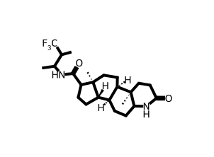 CC(NC(=O)C1CC[C@H]2[C@@H]3CCC4NC(=O)CC[C@]4(C)[C@@H]3CC[C@]12C)C(C)C(F)(F)F